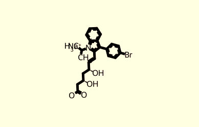 CC(C)n1c(/C=C/[C@H](O)C[C@H](O)CC(=O)[O-])c(-c2ccc(Br)cc2)c2ccccc21.[Na+]